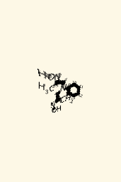 C/C(CN(C/C(C)=N/O)C1CCCCC1)=N\O